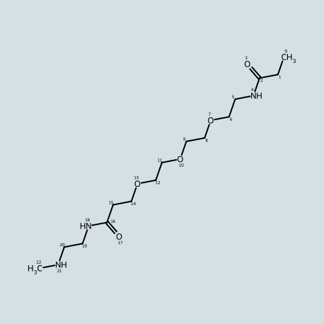 CCC(=O)NCCOCCOCCOCCC(=O)NCCNC